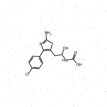 Nc1nc(-c2ccc(Cl)cc2)c(CC(O)NC(=O)O)s1